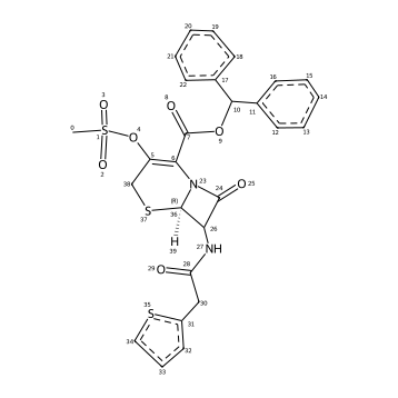 CS(=O)(=O)OC1=C(C(=O)OC(c2ccccc2)c2ccccc2)N2C(=O)C(NC(=O)Cc3cccs3)[C@H]2SC1